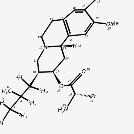 [2H]C([2H])([2H])C([2H])(C)C([2H])([2H])[C@H]1CN2CCc3cc(OC)c(OC)cc3[C@@H]2C[C@H]1OC(=O)[C@@H](N)C(C)C